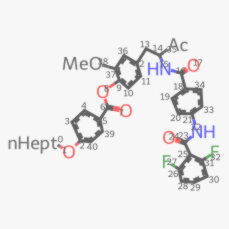 CCCCCCCOc1ccc(C(=O)Oc2ccc(CC(NC(=O)c3ccc(NC(=O)c4c(F)cccc4F)cc3)C(C)=O)cc2OC)cc1